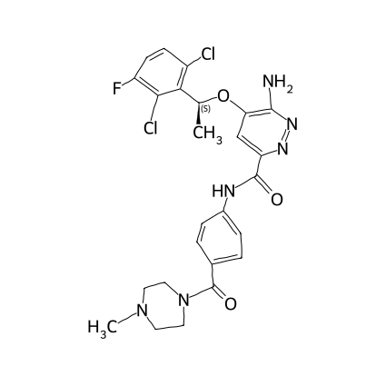 C[C@H](Oc1cc(C(=O)Nc2ccc(C(=O)N3CCN(C)CC3)cc2)nnc1N)c1c(Cl)ccc(F)c1Cl